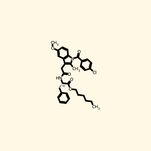 CCCCCCOC(=O)[C@H](Cc1ccccc1)NC(=O)Cc1c(C)n(C(=O)c2ccc(Cl)cc2)c2ccc(OC)cc12